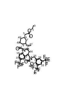 CCOC(=O)C[C@H]1CC[C@H](C(=O)N2c3ccc(C(F)(F)F)cc3C(N(Cc3cc(C(F)(F)F)cc(C(F)(F)F)c3)C(=O)OC)C[C@H]2CC)CC1